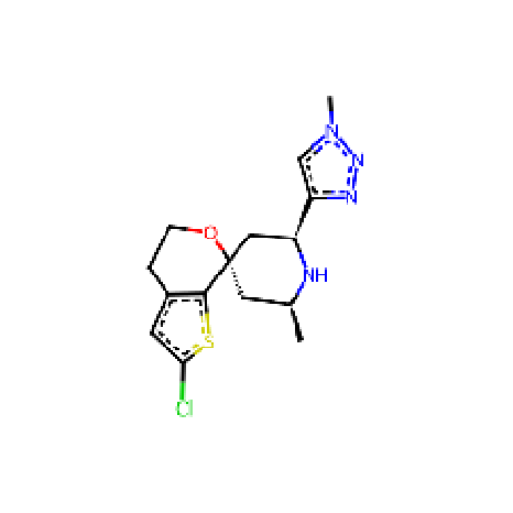 C[C@H]1C[C@@]2(C[C@@H](c3cn(C)nn3)N1)OCCc1cc(Cl)sc12